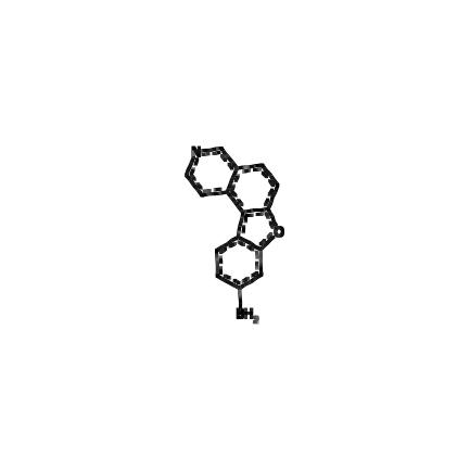 Bc1ccc2c(c1)oc1ccc3cnccc3c12